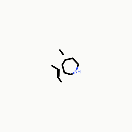 C1CCCNCC1.CC.CC=CC